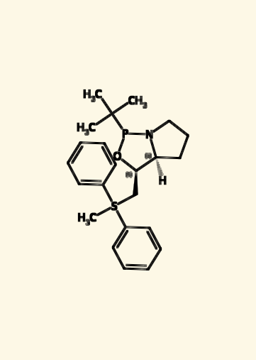 CC(C)(C)P1O[C@H](CS(C)(c2ccccc2)c2ccccc2)[C@@H]2CCCN21